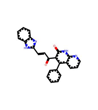 O=C(C=Cc1nc2ccccc2[nH]1)c1c(-c2ccccc2)c2cccnc2[nH]c1=O